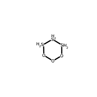 O1O[SiH2][SiH2][SiH2]O1